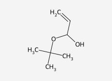 C=CC(O)OC(C)(C)C